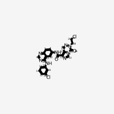 O=C(Nc1ccc2ncnc(Nc3cccc(Cl)c3)c2c1)c1ncn2c(=O)n(CCCl)nnc12